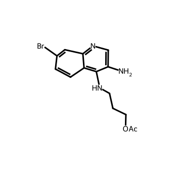 CC(=O)OCCCNc1c(N)cnc2cc(Br)ccc12